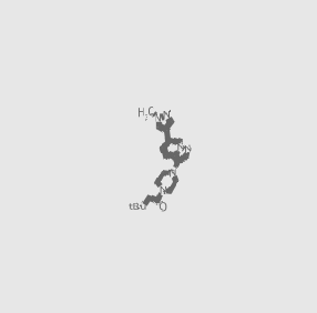 Cn1cc(-c2ccc3c(N4CCN(C(=O)CC(C)(C)C)CC4)cnn3c2)cn1